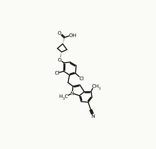 Cc1cc(C#N)cc2c1cc(Cc1c(Cl)ccc(O[C@H]3C[C@@H](C(=O)O)C3)c1Cl)n2C